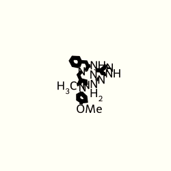 COc1ccc(-n2ncc(CN3CC(Nc4nc(N)nc5[nH]ncc45)Cc4ccccc43)c2C)cc1